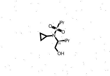 CC(C)[C@@H](CO)N(C1CC1)S(=O)(=O)C(C)C